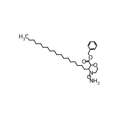 CCCCCCCCCCCCCCCCCCC1C(C(=O)OCc2ccccc2)OCCN1ON